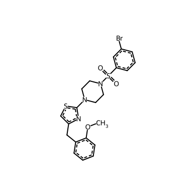 COc1ccccc1Cc1csc(N2CCN(S(=O)(=O)c3cccc(Br)c3)CC2)n1